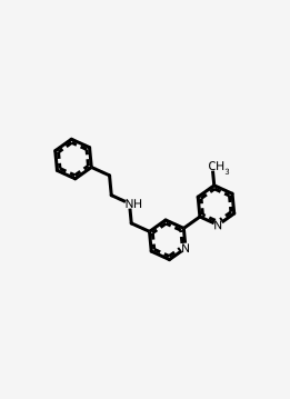 Cc1ccnc(-c2cc(CNCCc3ccccc3)ccn2)c1